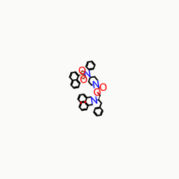 O=C(OC[C@@H](Cc1ccccc1)N(Cc1ccccc1)Cc1ccccc1)N1CCC(N(c2ccccc2)S(=O)(=O)c2cccc3ccccc23)CC1